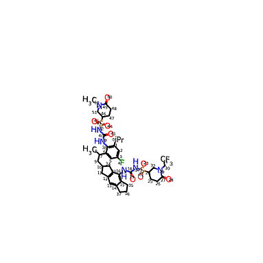 CC(C)c1cc(F)cc(C(C)CC2Cc3cc4c(c(NC(=O)NS(=O)(=O)C5CCC(=O)N(CC(F)(F)F)C5)c3C2)CCC4)c1NC(=O)NS(=O)(=O)C1CCC(=O)N(C)C1